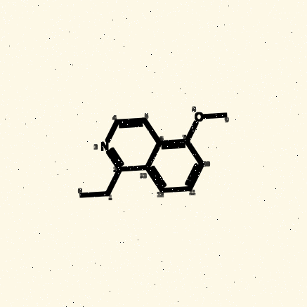 CCc1nccc2c(OC)cccc12